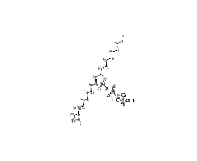 CCCCCCCCCCCCCCCCCCNCCN.CN(C)C.CN(C)C.O=S(=O)(O)O